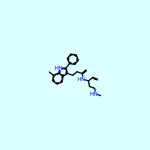 C=CC(CCNC)NC(=C)CCc1c(-c2ccccc2)[nH]c2c(C)cccc12